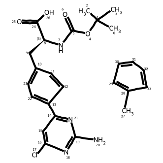 CC(C)(C)OC(=O)N[C@@H](Cc1ccc(-c2cc(Cl)nc(N)n2)cc1)C(=O)O.Cc1ccccc1